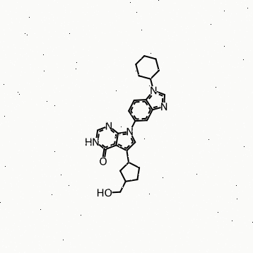 O=c1[nH]cnc2c1c(C1CCC(CO)C1)cn2-c1ccc2c(c1)ncn2C1CCCCC1